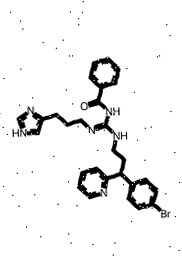 O=C(NC(=NCCCc1c[nH]cn1)NCCC(c1ccc(Br)cc1)c1ccccn1)c1ccccc1